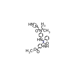 CCOC(=O)c1ccc2c(c1)NC(=O)/C2=C(/Nc1ccc(N(C(=O)CN2CCNCC2)C(C)C)cc1)c1ccccc1